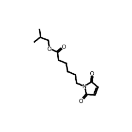 CC(C)COC(=O)CCCCCN1C(=O)C=CC1=O